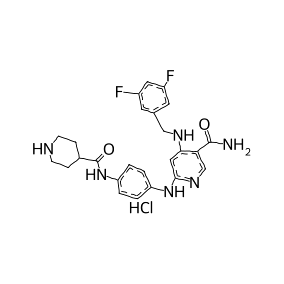 Cl.NC(=O)c1cnc(Nc2ccc(NC(=O)C3CCNCC3)cc2)cc1NCc1cc(F)cc(F)c1